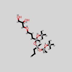 CCC[Si](C)(O[SiH](C)O[Si](C)(C)C)O[Si](C)(CCCOCC(O)CO)O[Si](C)(C)C